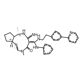 C[C@@H]1NC(=N)/C(=C(\NCCc2ccc(-c3ccccn3)cc2)Nc2ccccc2)C(=O)N(C)/C=N/[C@@H]2CCCC12